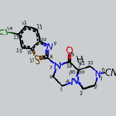 N#CN1CCN2CCN(c3nc4ccc(Cl)cc4s3)C(=O)[C@H]2C1